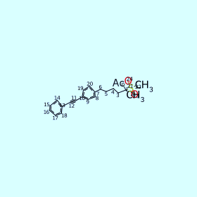 CC(=O)C(C)(CCCCc1ccc(C#Cc2ccccc2)cc1)S(C)(=O)=O